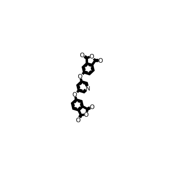 O=C1OC(=O)c2cc(Oc3cncc(Oc4ccc5c(c4)C(=O)OC5=O)c3)ccc21